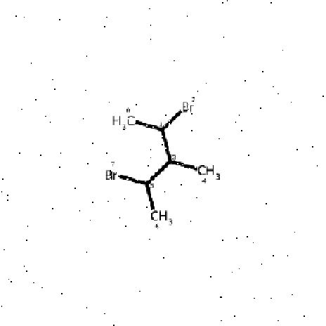 CC(Br)C(C)C(C)Br